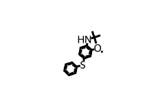 COc1cc(Sc2ccccc2)ccc1NC(C)(C)C